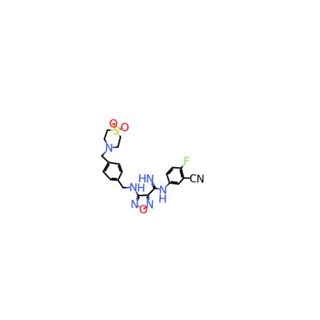 N#Cc1cc(NC(=N)c2nonc2NCc2ccc(CN3CCS(=O)(=O)CC3)cc2)ccc1F